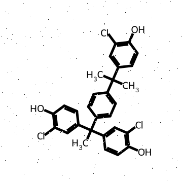 CC(C)(c1ccc(C(C)(c2ccc(O)c(Cl)c2)c2ccc(O)c(Cl)c2)cc1)c1ccc(O)c(Cl)c1